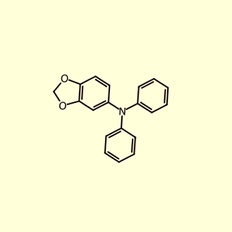 c1ccc(N(c2ccccc2)c2ccc3c(c2)OCO3)cc1